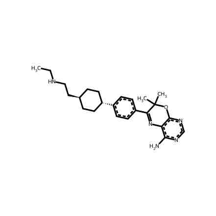 CCNCC[C@H]1CC[C@H](c2ccc(C3=Nc4c(N)ncnc4OC3(C)C)cc2)CC1